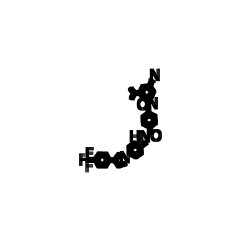 CC(C)c1cc(C#N)cc2nc(-c3ccc(C(=O)NCc4ccc(N5CCC(c6ccc(C(F)(F)F)cc6)C5)cc4)cc3)oc12